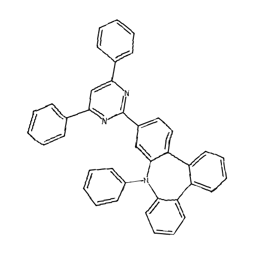 c1ccc(-c2cc(-c3ccccc3)nc(-c3ccc4c(c3)N(c3ccccc3)c3ccccc3-c3ccccc3-4)n2)cc1